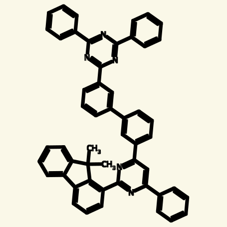 CC1(C)c2ccccc2-c2cccc(-c3nc(-c4ccccc4)cc(-c4cccc(-c5cccc(-c6nc(-c7ccccc7)nc(-c7ccccc7)n6)c5)c4)n3)c21